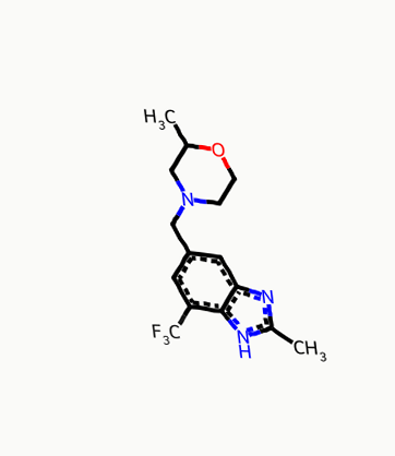 Cc1nc2cc(CN3CCOC(C)C3)cc(C(F)(F)F)c2[nH]1